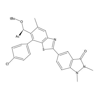 CC(=O)[C@@H](OC(C)(C)C)c1c(C)cc2nc(-c3ccc4c(c3)c(=O)n(C)n4C)sc2c1-c1ccc(Cl)cc1